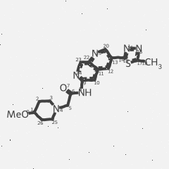 COC1CCN(CC(=O)Nc2cc3cc(-c4nnc(C)s4)cnc3cn2)CC1